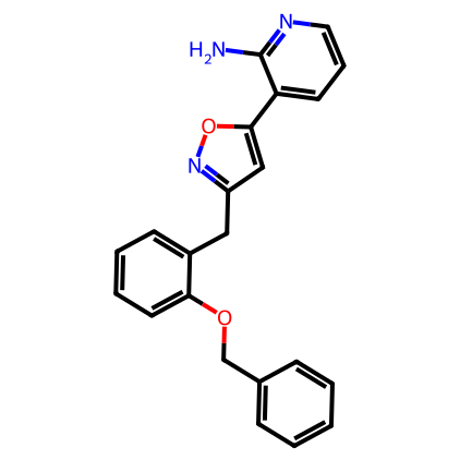 Nc1ncccc1-c1cc(Cc2ccccc2OCc2ccccc2)no1